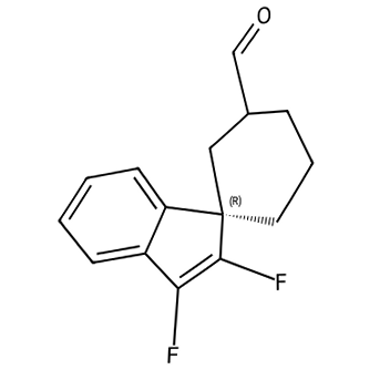 O=CC1CCC[C@]2(C1)C(F)=C(F)c1ccccc12